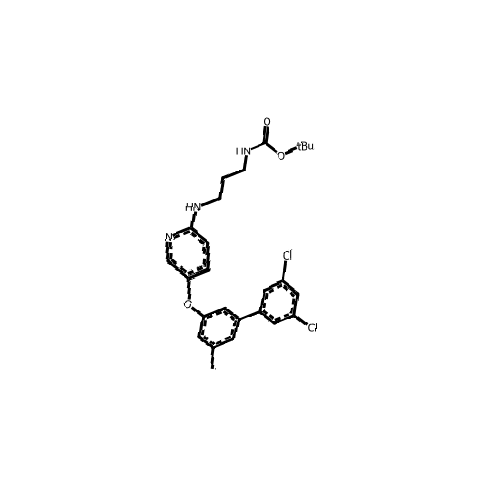 [CH2]c1cc(Oc2ccc(NCCCNC(=O)OC(C)(C)C)nc2)cc(-c2cc(Cl)cc(Cl)c2)c1